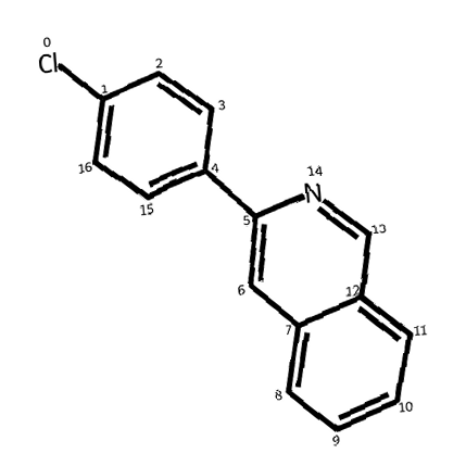 Clc1ccc(-c2cc3ccccc3cn2)cc1